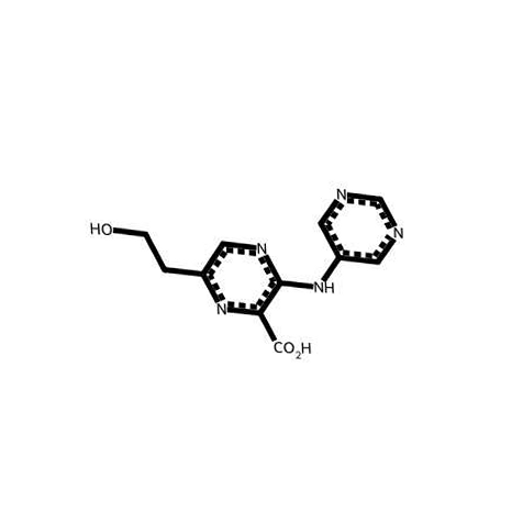 O=C(O)c1nc(CCO)cnc1Nc1cncnc1